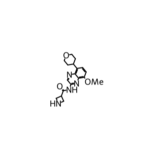 COc1ccc(C2CCOCC2)c2ncc(NC(=O)C3CNC3)nc12